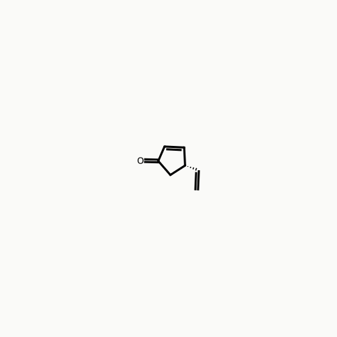 C=C[C@H]1C=CC(=O)C1